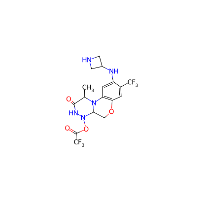 CC1C(=O)NN(OC(=O)C(F)(F)F)C2COc3cc(C(F)(F)F)c(NC4CNC4)cc3N12